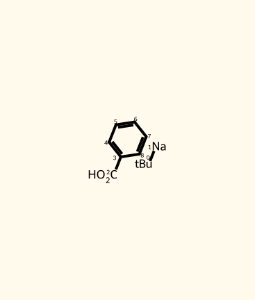 C[C](C)(C)[Na].O=C(O)c1ccccc1